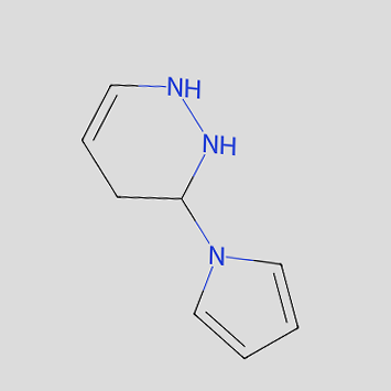 C1=CNNC(n2cccc2)C1